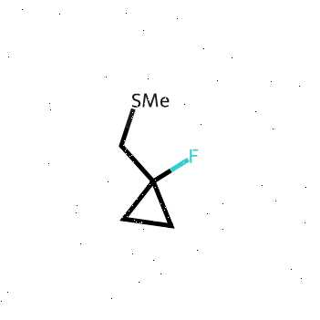 CSCC1(F)CC1